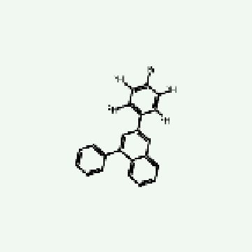 [2H]c1c([2H])c(-c2cc(-c3ccccc3)c3ccccc3c2)c([2H])c([2H])c1Br